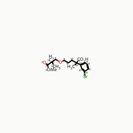 COC(=O)C(C)(C)COCCCC(C)(C(=O)O)c1cccc(Br)c1